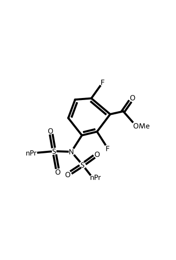 CCCS(=O)(=O)N(c1ccc(F)c(C(=O)OC)c1F)S(=O)(=O)CCC